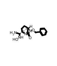 NC(NO)[C@@H]1CC[C@H]2CN1C(=O)N2OCc1ccccc1